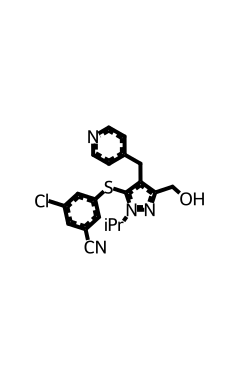 CC(C)n1nc(CO)c(Cc2ccncc2)c1Sc1cc(Cl)cc(C#N)c1